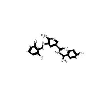 CC(NC(=O)c1cnc(N)c(OCc2c(Cl)cccc2Cl)c1)c1ccc(O)cc1